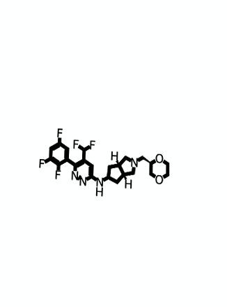 Fc1cc(F)c(F)c(-c2nnc(NC3C[C@@H]4CN(C[C@@H]5COCCO5)C[C@@H]4C3)cc2C(F)F)c1